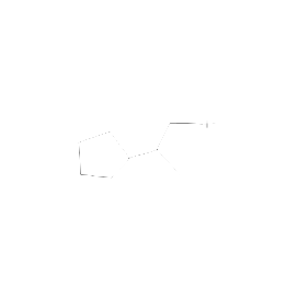 CC(C)CC(C)C1CCCC1